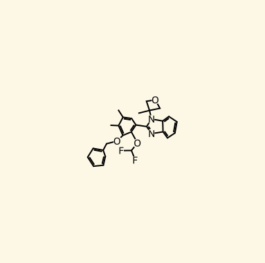 Cc1cc(-c2nc3ccccc3n2C2(C)COC2)c(OC(F)F)c(OCc2ccccc2)c1C